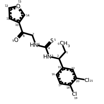 CCC(NC(=S)NCC(=O)c1ccoc1)c1ccc(Cl)c(Cl)c1